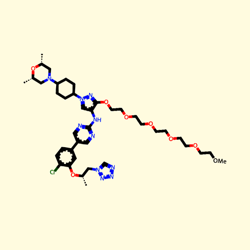 COCCOCCOCCOCCOCCOc1nn(C2CCC(N3C[C@@H](C)O[C@@H](C)C3)CC2)cc1Nc1ncc(-c2ccc(Cl)c(O[C@@H](C)Cn3cnnn3)c2)cn1